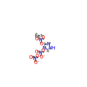 O=[N+]([O-])[O-].O=[N+]([O-])[O-].O=[N+]([O-])[O-].[Fe+3].c1nc[nH]n1